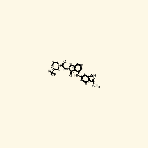 Cc1n[nH]c2cc(Nc3cccc4c3C(=O)N(CC(=O)N3CCO[C@H](C(F)(F)F)C3)C4)ccc12